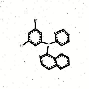 CCc1cc(Br)cc(N(c2ccccn2)c2cccc3ccccc23)c1